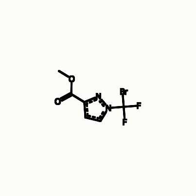 COC(=O)c1ccn(C(F)(F)Br)n1